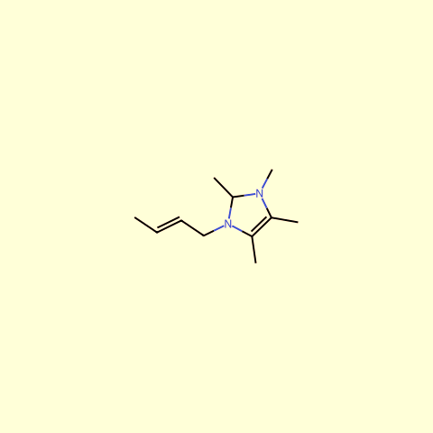 CC=CCN1C(C)=C(C)N(C)C1C